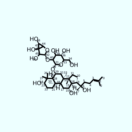 CC(C)=CCC[C@](C)(O)[C@H]1CC[C@]2(C)[C@@H]1[C@H](O)C[C@@H]1[C@@]3(C)CC[C@H](O)C(C)(C)[C@@H]3[C@@H](O[C@@H]3OC(CO)[C@@H](O)C(O)C3O[C@@H]3OC4[C@H](O)C4(O)C3O)C[C@]12C